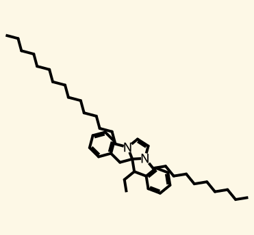 CCCCCCCCCCCCCCCN1C=CN(CCCCCCCCCC)C1(Cc1ccccc1)C(CC)c1ccccc1